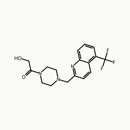 O=C(CO)N1CCN(Cc2ccc3c(C(F)(F)F)cccc3n2)CC1